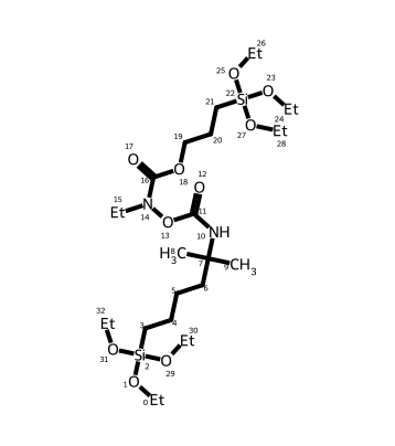 CCO[Si](CCCCC(C)(C)NC(=O)ON(CC)C(=O)OCCC[Si](OCC)(OCC)OCC)(OCC)OCC